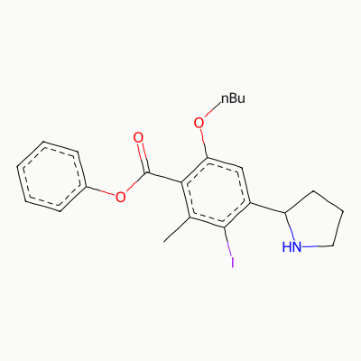 CCCCOc1cc(C2CCCN2)c(I)c(C)c1C(=O)Oc1ccccc1